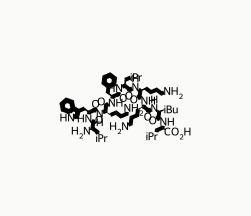 CC[C@H](C)[C@H](NC(=O)[C@H](CCCCN)NC(=O)[C@H](CCCCN)NC(=O)[C@H](CC(C)C)NC(=O)[C@H](Cc1ccccc1)NC(=O)[C@H](CCCCN)NC(=O)[C@H](Cc1c[nH]c2ccccc12)NC(=O)[C@@H](N)CC(C)C)C(=O)N[C@@H](CC(C)C)C(=O)O